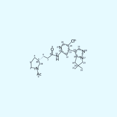 CC(=O)N1CCC[C@H](CCC(=O)Nc2cc(-c3cnn4c3CC(C)(C)C4)c(Cl)cn2)C1